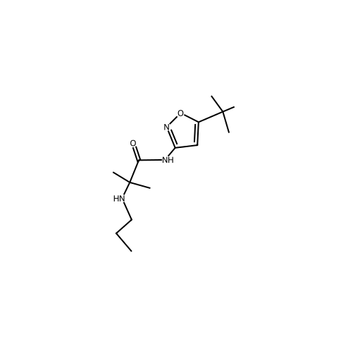 CCCNC(C)(C)C(=O)Nc1cc(C(C)(C)C)on1